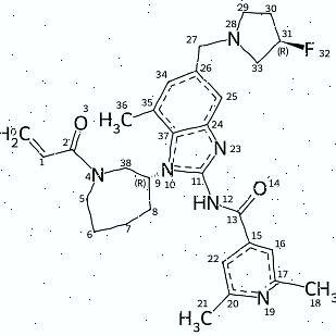 C=CC(=O)N1CCCC[C@@H](n2c(NC(=O)c3cc(C)nc(C)c3)nc3cc(CN4CC[C@@H](F)C4)cc(C)c32)C1